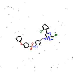 O=S(=O)(Nc1ccc(CNc2cc(-c3ccccc3Cl)nc3c(Br)cnn23)cc1)c1ccc(Oc2ccccc2)cc1